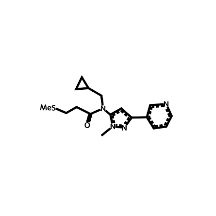 CSCCC(=O)N(CC1CC1)c1cc(-c2cccnc2)nn1C